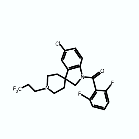 O=C(c1c(F)cccc1F)N1CC2(CCN(CCC(F)(F)F)CC2)c2cc(Cl)ccc21